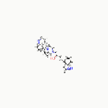 Cc1cc2c(CCC(O)CN3CC4CC=CCC3CN4c3cccc4ncccc34)cccc2[nH]1